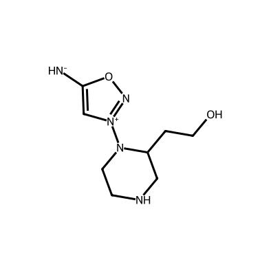 [NH-]c1c[n+](N2CCNCC2CCO)no1